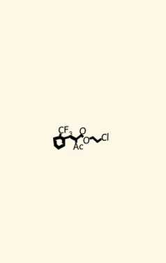 CC(=O)/C(=C\c1ccccc1C(F)(F)F)C(=O)OCCCl